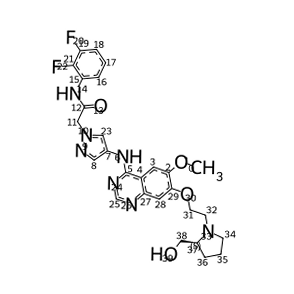 COc1cc2c(Nc3cnn(CC(=O)Nc4cccc(F)c4F)c3)ncnc2cc1OCCN1CCC[C@H]1CO